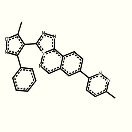 Cc1ccc(-c2ccc3c(cnn4c(-c5c(-c6ccccc6)noc5C)nnc34)c2)nn1